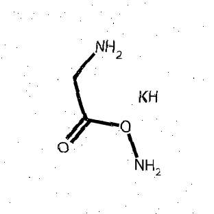 NCC(=O)ON.[KH]